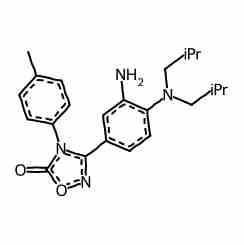 Cc1ccc(-n2c(-c3ccc(N(CC(C)C)CC(C)C)c(N)c3)noc2=O)cc1